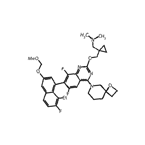 CCc1c(F)ccc2cc(OCOC)cc(-c3c(F)cc4c(N5CCCC6(CCO6)C5)nc(OCC5(CN(C)C)CC5)nc4c3F)c12